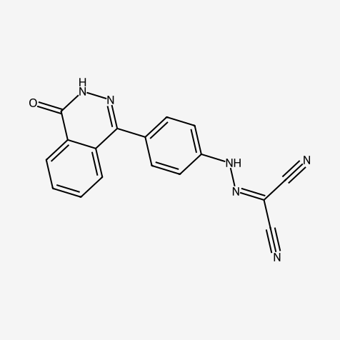 N#CC(C#N)=NNc1ccc(-c2n[nH]c(=O)c3ccccc23)cc1